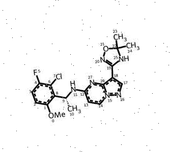 COc1ccc(F)c(Cl)c1[C@@H](C)Nc1ccn2ncc(C3=NOC(C)(C)N3)c2n1